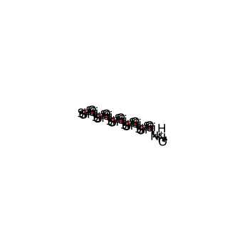 C=C(C)C(=O)NCCC[N+](C)(C)CCCC[Si](C)(C)O[Si](C)(C)CC[Si](C)(C)O[Si](C)(C)CC[Si](C)(C)O[Si](C)(C)CC[Si](C)(C)O[Si](C)(C)CC[Si](C)(C)O[Si](C)(C)CC[Si](C)(C)O[Si](C)(C)CC[Si](C)(C)O[Si](C)(C)CC[Si](C)(C)O[Si](C)(C)CC[Si](C)(C)O[Si](C)(C)CC[Si](C)(C)O[Si](C)(C)C